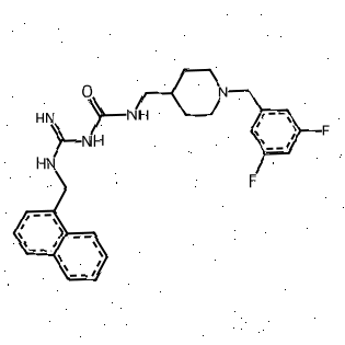 N=C(NCc1cccc2ccccc12)NC(=O)NCC1CCN(Cc2cc(F)cc(F)c2)CC1